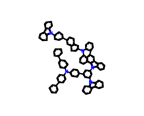 c1ccc(-c2ccc(N(c3ccc(-c4ccccc4)cc3)c3ccc(-c4cc(-n5c6ccccc6c6ccccc65)cc(-n5c6ccccc6c6cc(-c7ccccc7N(c7ccccc7)c7ccc8cc(-c9ccc(-n%10c%11ccccc%11c%11ccccc%11%10)cc9)ccc8c7)ccc65)c4)cc3)cc2)cc1